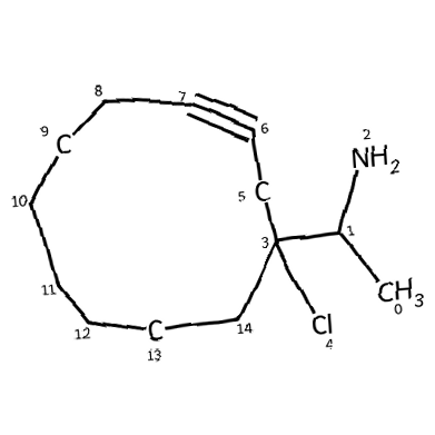 CC(N)C1(Cl)CC#CCCCCCCC1